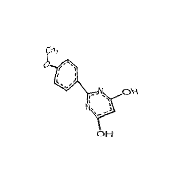 COc1ccc(-c2nc(O)cc(O)n2)cc1